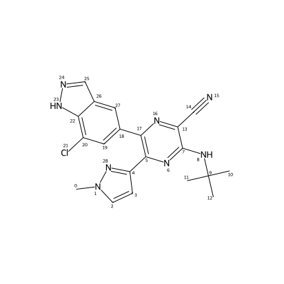 Cn1ccc(-c2nc(NC(C)(C)C)c(C#N)nc2-c2cc(Cl)c3[nH]ncc3c2)n1